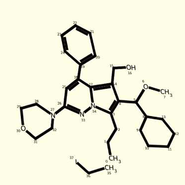 CCCc1c(C(OC)C2CCCCC2)c(CO)c2c(-c3ccccc3)cc(N3CCOCC3)nn12.CCI